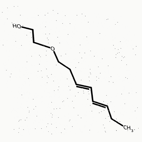 CCC=CC=CCCOCCO